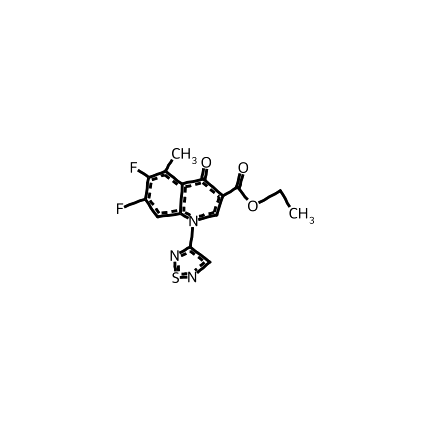 CCOC(=O)c1cn(-c2cnsn2)c2cc(F)c(F)c(C)c2c1=O